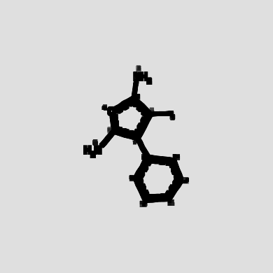 Cc1c(N)oc(N)c1-c1ccccc1